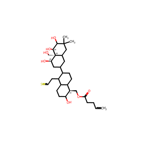 C=CCCC(=O)OC[C@H]1C(O)CCC2C(CC=S)C(C3CC4CC(C)(C)C(O)[C@H](O)[C@]4(CO)[C@H](O)C3)CCC21